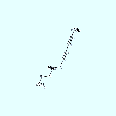 CC(C)(C)C#CC#CCNCCN